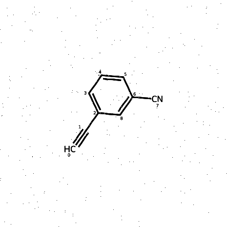 C#Cc1c[c]cc(C#N)c1